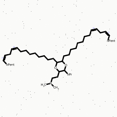 CCCCC/C=C\C/C=C\CCCCCCCCC1OC(CCC)C(CCN(C)C)OC1CCCCCCCC/C=C\C/C=C\CCCCC